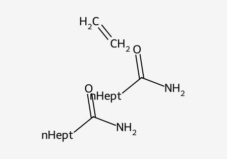 C=C.CCCCCCCC(N)=O.CCCCCCCC(N)=O